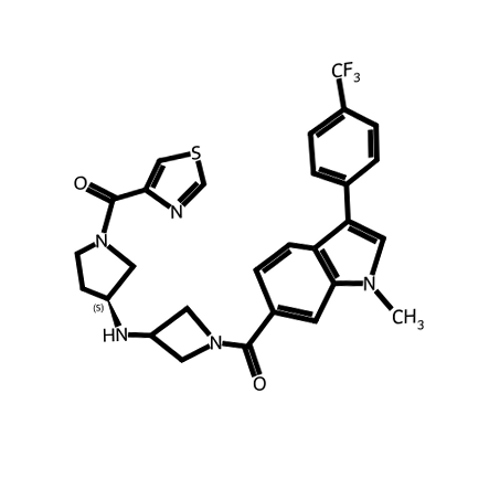 Cn1cc(-c2ccc(C(F)(F)F)cc2)c2ccc(C(=O)N3CC(N[C@H]4CCN(C(=O)c5cscn5)C4)C3)cc21